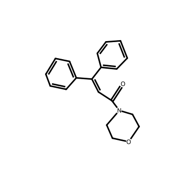 O=C(C=C(c1ccccc1)c1ccccc1)N1CCOCC1